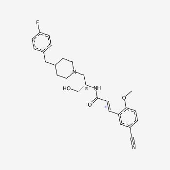 COc1ccc(C#N)cc1/C=C/C(=O)N[C@H](CO)CN1CCC(Cc2ccc(F)cc2)CC1